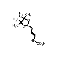 CC1(C)OB(C/C=C/NC(=O)O)OC1(C)C